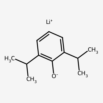 CC(C)c1cccc(C(C)C)c1[O-].[Li+]